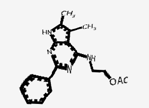 CC(=O)OCCNc1nc(-c2ccccc2)nc2[nH]c(C)c(C)c12